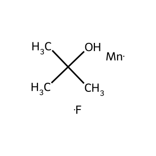 CC(C)(C)O.[F].[Mn]